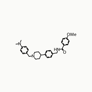 COc1ccc(C(=O)NCc2ccc(C3CCN(Cc4ccc(N(C)C)cc4)CC3)cc2)cc1